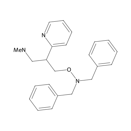 CNCC(CON(Cc1ccccc1)Cc1ccccc1)c1ccccn1